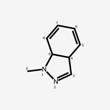 CN1N=CC2C=CC=CC21